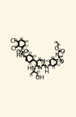 CCOC(=O)N=S(C)(=O)c1ccc(Nc2ncc(-c3ccc(NS(=O)(=O)c4cccc(Cl)c4Cl)cc3)c(NC(C)CO)n2)cc1